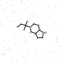 CCC(C)(C)N1CCC2NCCC2C1